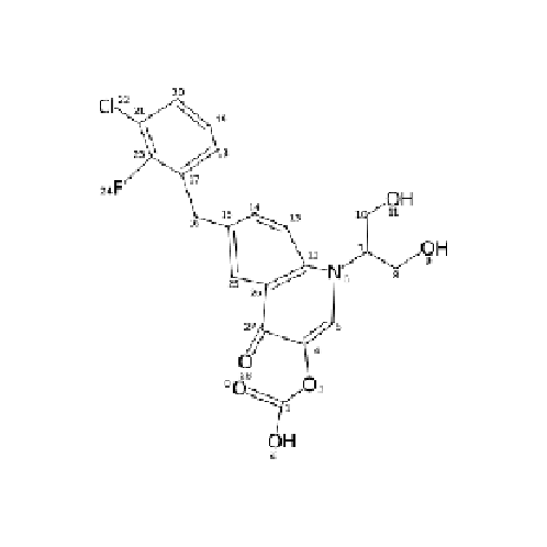 O=C(O)Oc1cn(C(CO)CO)c2ccc(Cc3cccc(Cl)c3F)cc2c1=O